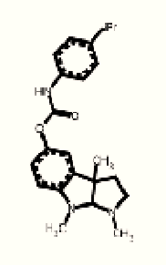 CC(C)c1ccc(NC(=O)Oc2ccc3c(c2)C2(C)CCN(C)C2N3C)cc1